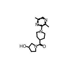 Cc1cnc(C)c(N2CCC(C(=O)N3CCC(O)C3)CC2)n1